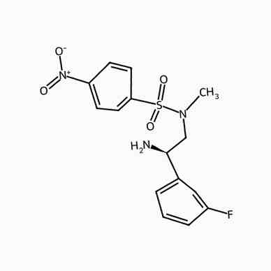 CN(C[C@H](N)c1cccc(F)c1)S(=O)(=O)c1ccc([N+](=O)[O-])cc1